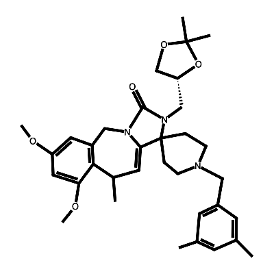 COc1cc2c(c(OC)c1)C(C)C=C1N(C2)C(=O)N(C[C@@H]2COC(C)(C)O2)C12CCN(Cc1cc(C)cc(C)c1)CC2